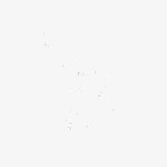 O=C(O)Nc1ccc(C(=O)NC(Cc2ccccc2)C(=O)N2CCC[C@@]3(C2)OC(=O)Nc2ccc(C4CC4)c(F)c23)cc1